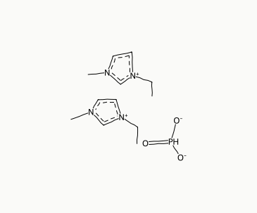 CC[n+]1ccn(C)c1.CC[n+]1ccn(C)c1.O=[PH]([O-])[O-]